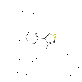 Cc1cscc1C1=CCCCC1